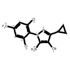 N#Cc1c(C2CC2)nn(-c2c(Cl)cc(C(F)(F)F)cc2Cl)c1N